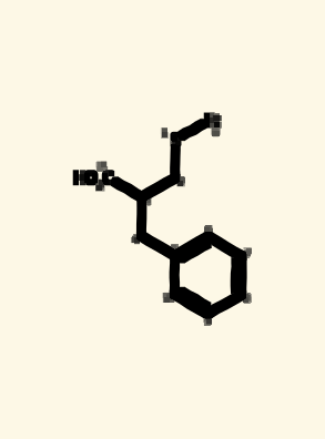 CCSCC(Cc1ccccc1)C(=O)O